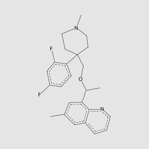 Cc1cc(C(C)OCC2(c3ccc(F)cc3F)CCN(C)CC2)c2ncccc2c1